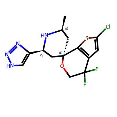 C[C@H]1C[C@@]2(C[C@@H](c3c[nH]nn3)N1)OCC(F)(F)c1cc(Cl)sc12